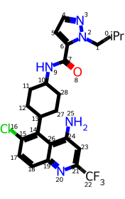 CC(C)Cn1nccc1C(=O)NC1CCC(c2c(Cl)ccc3nc(C(F)(F)F)cc(N)c23)CC1